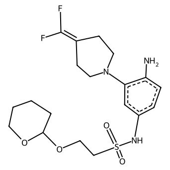 Nc1ccc(NS(=O)(=O)CCOC2CCCCO2)cc1N1CCC(=C(F)F)CC1